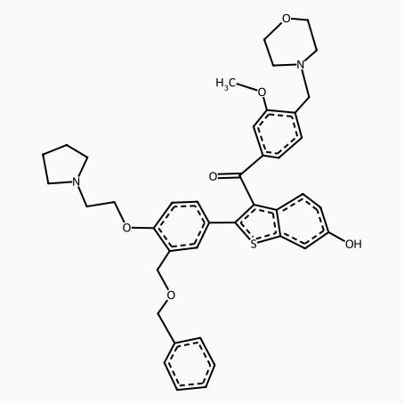 COc1cc(C(=O)c2c(-c3ccc(OCCN4CCCC4)c(COCc4ccccc4)c3)sc3cc(O)ccc23)ccc1CN1CCOCC1